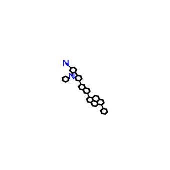 N#Cc1ccc2c3ccc(-c4ccc5cc(-c6ccc7ccc8c(-c9ccccc9)ccc9ccc6c7c98)ccc5c4)cc3n(-c3ccccc3)c2c1